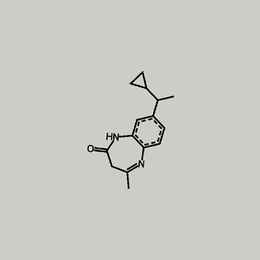 CC1=Nc2ccc(C(C)C3CC3)cc2NC(=O)C1